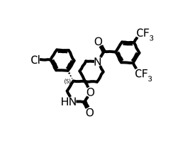 O=C1NC[C@H](c2cccc(Cl)c2)C2(CCN(C(=O)c3cc(C(F)(F)F)cc(C(F)(F)F)c3)CC2)O1